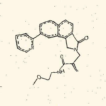 C=C(CN1Cc2c(ccc3ccc(-c4ccccn4)cc23)C1=O)C(=O)NCCOC